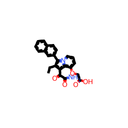 CCc1c(C(=O)C(N)=O)c2c(OCC(=O)O)cccn2c1-c1ccc2ccccc2c1